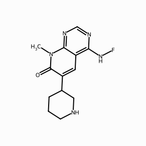 Cn1c(=O)c(C2CCCNC2)cc2c(NF)ncnc21